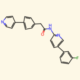 O=C(Cc1ccc(-c2ccncc2)cc1)Nc1ccc(-c2cccc(F)c2)cn1